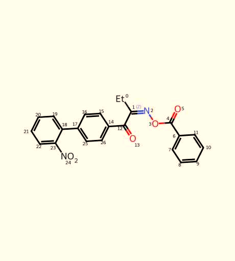 CC/C(=N/OC(=O)c1ccccc1)C(=O)c1ccc(-c2ccccc2[N+](=O)[O-])cc1